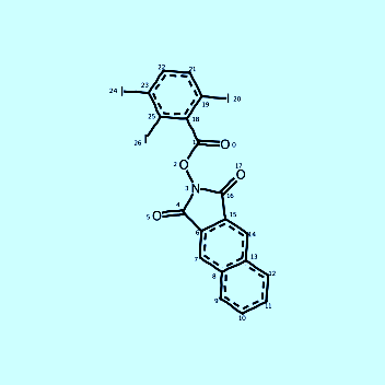 O=C(ON1C(=O)c2cc3ccccc3cc2C1=O)c1c(I)ccc(I)c1I